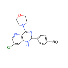 O=Nc1ccc(C2N=C(N3CCOCC3)c3ncc(Cl)cc3N2)cc1